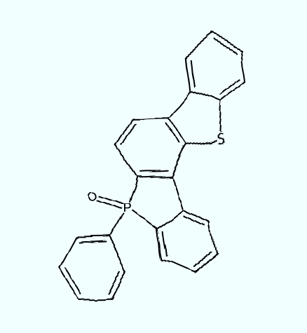 O=P1(c2ccccc2)c2ccccc2-c2c1ccc1c2sc2ccccc21